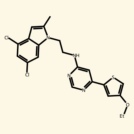 CCOc1csc(-c2cc(NCCn3c(C)cc4c(Cl)cc(Cl)cc43)ncn2)c1